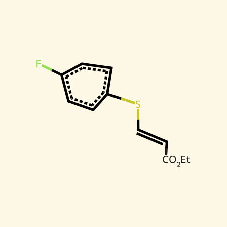 CCOC(=O)/C=C/Sc1ccc(F)cc1